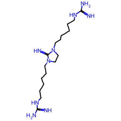 N=C(N)NCCCCCCN1CCN(CCCCCCNC(=N)N)C1=N